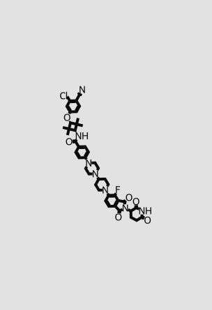 CC1(C)[C@H](NC(=O)c2ccc(N3CCN(C4CCN(c5ccc6c(c5F)C(=O)N(C5CCC(=O)NC5=O)C6=O)CC4)CC3)cc2)C(C)(C)[C@H]1Oc1ccc(C#N)c(Cl)c1